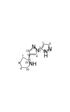 c1cc(-n2cc([C@@H]3CCCCN3)cn2)[nH]n1